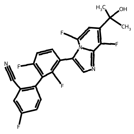 CC(C)(O)c1cc(F)n2c(-c3ccc(F)c(-c4ccc(F)cc4C#N)c3F)cnc2c1F